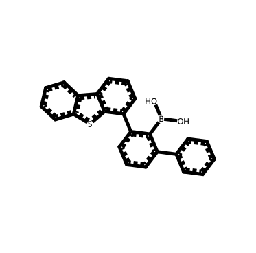 OB(O)c1c(-c2ccccc2)cccc1-c1cccc2c1sc1ccccc12